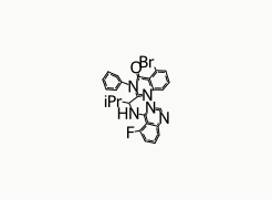 CC(C)C(Nc1ncnc2cccc(F)c12)c1nc2cccc(Br)c2c(=O)n1-c1ccccc1